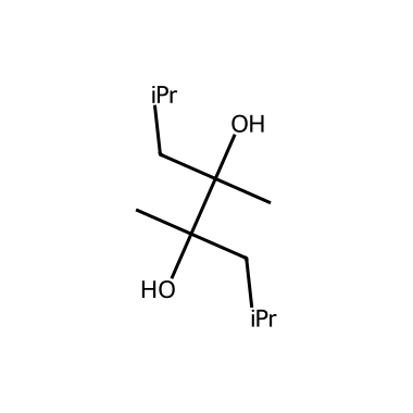 CC(C)CC(C)(O)C(C)(O)CC(C)C